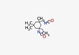 CCC1(N=C=O)CC(C)(C)CC(C)(CN=C=O)C1